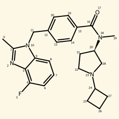 Cc1nc2c(F)cccc2n1Cc1ccc(C(=O)N(C)[C@@H]2CCN(C3CCC3)C2)cc1